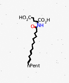 CCCCCC=CCC=CCCCCCCCC(=O)N[C@@H](CCC(=O)O)C(=O)O